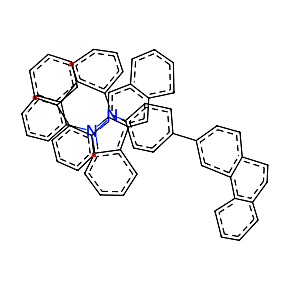 c1ccc(-c2ccccc2N(c2ccc(-c3ccc4ccc5ccccc5c4c3)cc2)c2ccccc2-c2ccccc2-n2c3ccccc3c3cc4ccccc4cc32)cc1